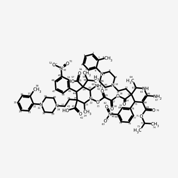 Cc1ccccc1N1CCN(CCC2(C(=O)OC(=O)C(=O)ON3C(C)C(CCN4CCN(c5ccccc5C)CC4)(C(=O)O)C(c4cccc([N+](=O)[O-])c4)C(C(=O)O)(C(C)C)C3N)C(C)NC(N)=C(C(=O)OC(C)C)C2c2cccc([N+](=O)[O-])c2)CC1